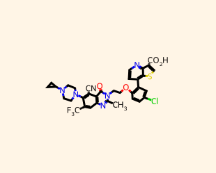 Cc1nc2cc(C(F)(F)F)c(N3CCN(C4CC4)CC3)c(C#N)c2c(=O)n1CCOc1ccc(Cl)cc1-c1ccnc2c(C(=O)O)csc12